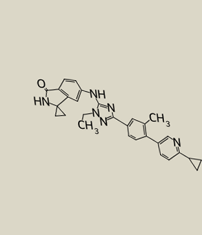 CCn1nc(-c2ccc(-c3ccc(C4CC4)nc3)c(C)c2)nc1Nc1ccc2c(c1)C1(CC1)NC2=O